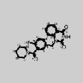 O=C(c1cc(Cn2c(=O)[nH]c(=O)c3ccccc32)ccc1F)N1CCCCC1